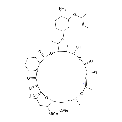 CC=C(C)OC1CC(C=C(C)C2OC(=O)C3CCCCN3C(=O)C(=O)C3(O)OC(C(OC)CC(C)C/C(C)=C/C(CC)C(=O)CC(O)C2C)C(OC)CC3C)CCC1N